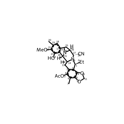 CC[C@H]1c2c(c(OC(C)=O)c(C)c3c2OCO3)C[C@H]2[C@@H]3c4c(cc(C)c(OC)c4O)C[C@@H]([C@H](C#N)N12)N3C